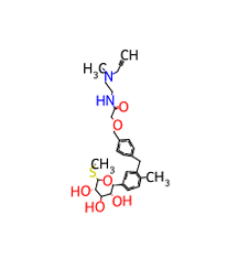 C#CCN(C)CCNC(=O)COCc1ccc(Cc2cc([C@@H]3O[C@H](SC)[C@@H](O)[C@H](O)[C@H]3O)ccc2C)cc1